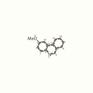 COc1ccc2ncc3ccccc3c2c1